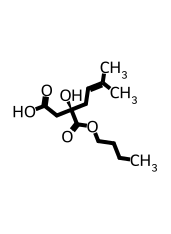 CCCCOC(=O)[C@@](O)(CC=C(C)C)CC(=O)O